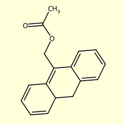 CC(=O)OCC1=C2C=CC=CC2Cc2ccccc21